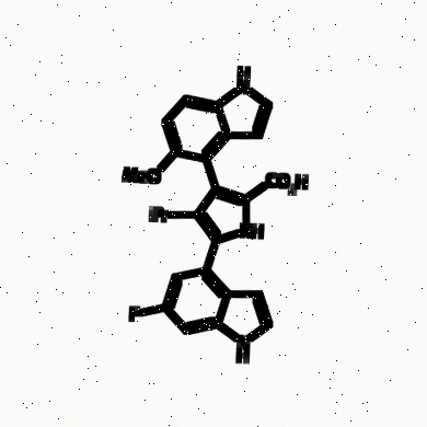 COc1ccc2[nH]ccc2c1-c1c(C(=O)O)[nH]c(-c2cc(F)cc3[nH]ccc23)c1C(C)C